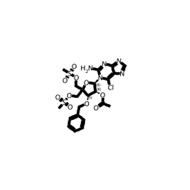 CC(=O)O[C@H]1[C@H](n2c(N)nc3ncnc-3c2Cl)OC(COS(C)(=O)=O)(COS(C)(=O)=O)[C@H]1OCc1ccccc1